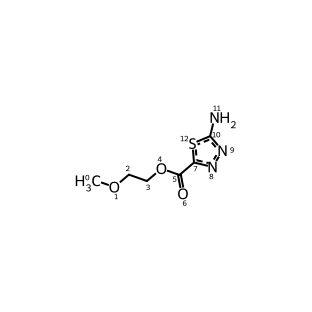 COCCOC(=O)c1nnc(N)s1